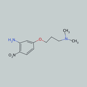 CN(C)CCCOc1ccc([N+](=O)[O-])c(N)c1